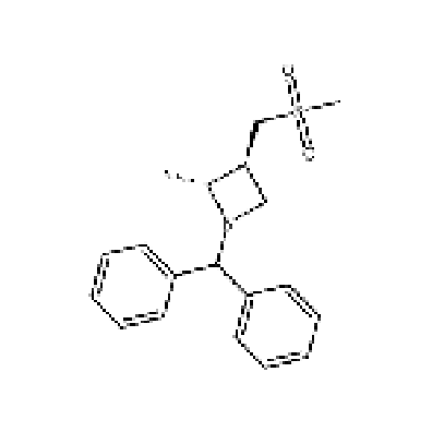 C[C@@H]1[C@@H](CS(C)(=O)=O)CN1C(c1ccccc1)c1ccccc1